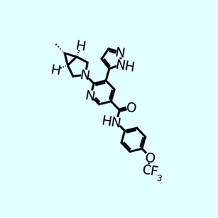 C[C@@H]1[C@H]2CN(c3ncc(C(=O)Nc4ccc(OC(F)(F)F)cc4)cc3-c3ccn[nH]3)C[C@@H]12